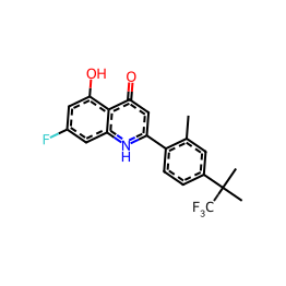 Cc1cc(C(C)(C)C(F)(F)F)ccc1-c1cc(=O)c2c(O)cc(F)cc2[nH]1